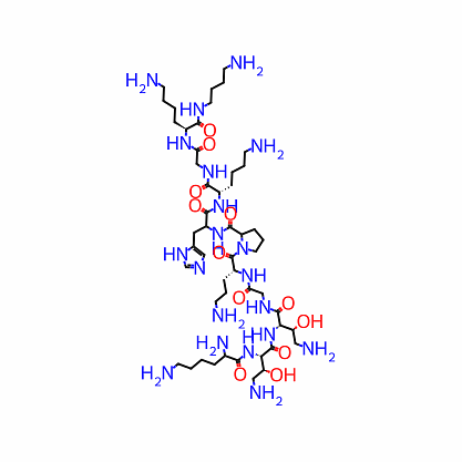 NCCCCNC(=O)[C@H](CCCCN)NC(=O)CNC(=O)[C@H](CCCCN)NC(=O)C(Cc1cnc[nH]1)NC(=O)C1CCCN1C(=O)[C@@H](CCCN)NC(=O)CNC(=O)[C@@H](NC(=O)[C@@H](NC(=O)C(N)CCCCN)[C@@H](O)CN)[C@@H](O)CN